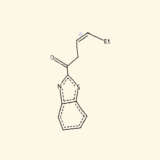 CC/C=C\CC(=O)c1nc2ccccc2s1